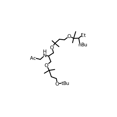 CCCCC(CC)C(C)(C)OCCC(C)(C)OCC(COC(C)(C)CCOC(C)(C)C)NCC(C)=O